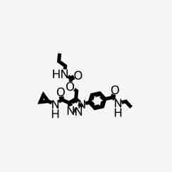 CCCNC(=O)OCc1c(C(=O)NC2CC2)nnn1-c1ccc(C(=O)NCC)cc1